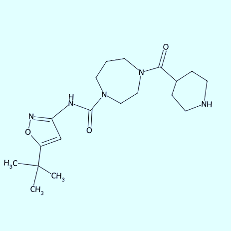 CC(C)(C)c1cc(NC(=O)N2CCCN(C(=O)C3CCNCC3)CC2)no1